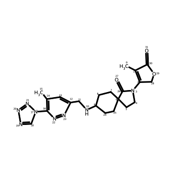 CC1=C(N2CCC3(CCC(NCc4cc(C)c(-n5cnnn5)nn4)CC3)C2=O)COC1=O